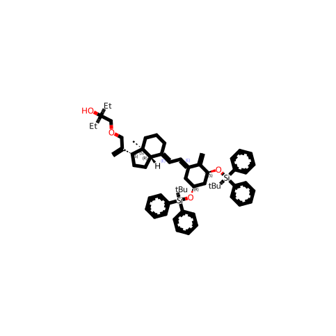 C=C1/C(=C/C=C2\CCC[C@]3(C)[C@@H](C(=C)COCC(O)(CC)CC)CC[C@@H]23)C[C@@H](O[Si](c2ccccc2)(c2ccccc2)C(C)(C)C)C[C@@H]1O[Si](c1ccccc1)(c1ccccc1)C(C)(C)C